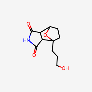 O=C1NC(=O)C2C1C1CCC2(CCCO)O1